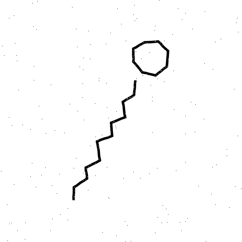 C1CCCCCCC1.CCCCCCCCCCCC